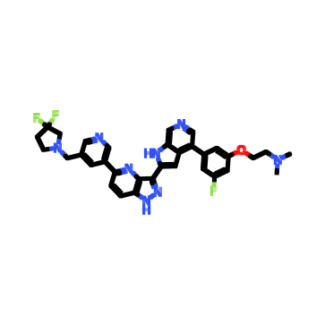 CN(C)CCOc1cc(F)cc(-c2cncc3[nH]c(-c4n[nH]c5ccc(-c6cncc(CN7CCC(F)(F)C7)c6)nc45)cc23)c1